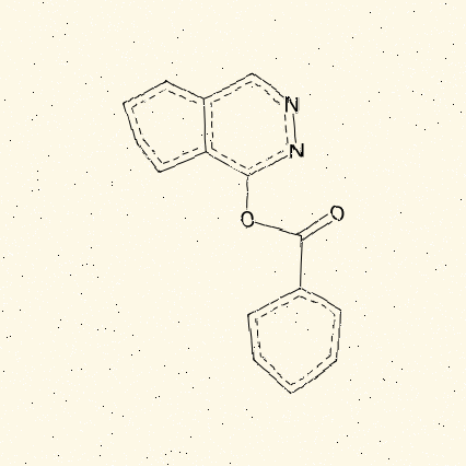 O=C(Oc1nncc2ccccc12)c1ccccc1